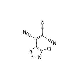 N#CC(C#N)=C(C#N)c1s[c]nc1Cl